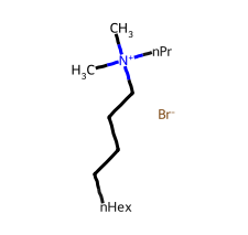 CCCCCCCCCC[N+](C)(C)CCC.[Br-]